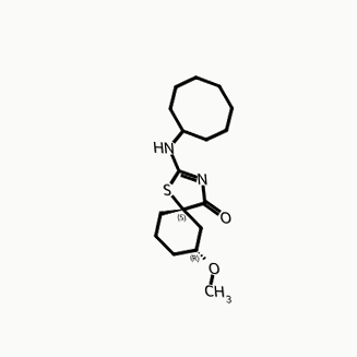 CO[C@@H]1CCC[C@@]2(C1)SC(NC1CCCCCCC1)=NC2=O